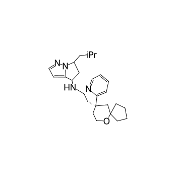 CC(C)CC1CC(NCC[C@@]2(c3ccccn3)CCOC3(CCCC3)C2)c2ccnn21